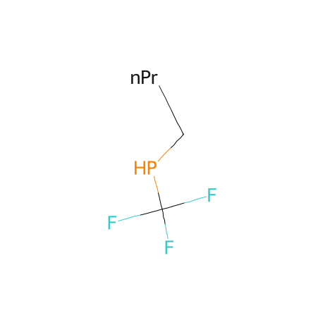 CCCCPC(F)(F)F